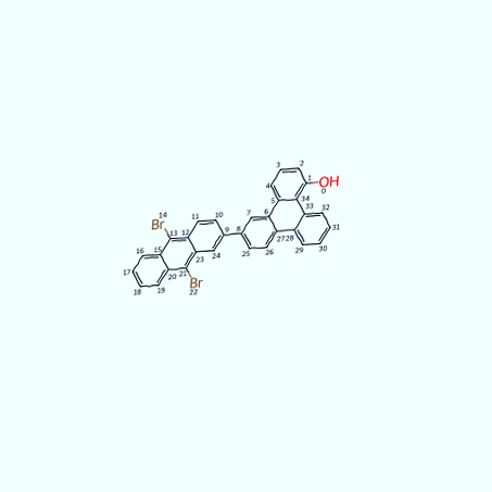 Oc1cccc2c3cc(-c4ccc5c(Br)c6ccccc6c(Br)c5c4)ccc3c3ccccc3c12